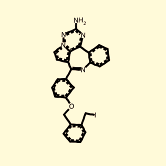 Nc1nc2c3c(ccn3n1)C(c1cccc(OCc3ccccc3CI)c1)=Nc1ccccc1-2